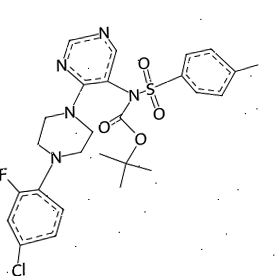 Cc1ccc(S(=O)(=O)N(C(=O)OC(C)(C)C)c2cncnc2N2CCN(c3ccc(Cl)cc3F)CC2)cc1